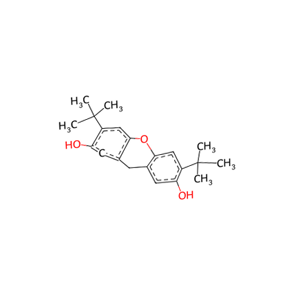 CC(C)(C)c1cc2c(cc1O)Cc1cc(O)c(C(C)(C)C)cc1O2